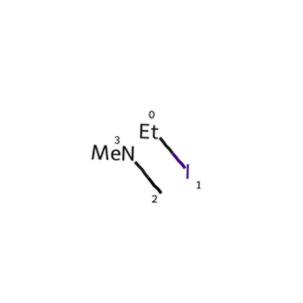 CCI.CNC